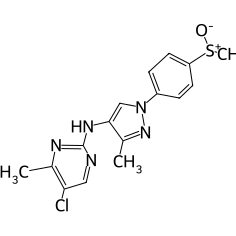 Cc1nc(Nc2cn(-c3ccc([S+](C)[O-])cc3)nc2C)ncc1Cl